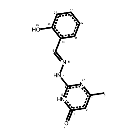 Cc1cc(=O)[nH]c(N/N=C/c2ccccc2O)n1